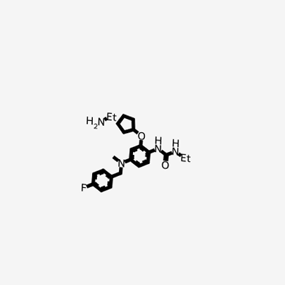 CCN.CCNC(=O)Nc1ccc(N(C)Cc2ccc(F)cc2)cc1OC1CCCC1